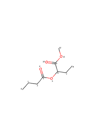 CCCC(=O)OC(CC)C(=O)OC